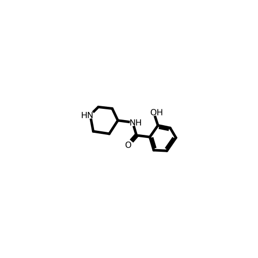 O=C(NC1CCNCC1)c1ccccc1O